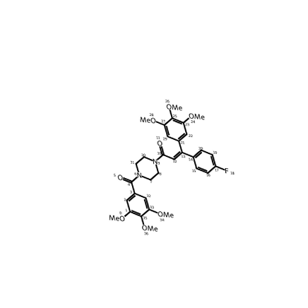 COc1cc(C(=O)N2CCN(C(=O)C=C(c3ccc(F)cc3)c3cc(OC)c(OC)c(OC)c3)CC2)cc(OC)c1OC